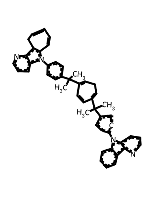 CC(C)(C1=CCC=C(C(C)(C)c2ccc(-n3c4ccccc4c4ncccc43)cc2)C=C1)c1ccc(-n2c3c(c4ncccc42)CC=CC=C3)cc1